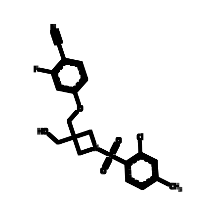 Cc1ccc(S(=O)(=O)N2CC(CO)(COc3ccc(C#N)c(F)c3)C2)c(Cl)c1